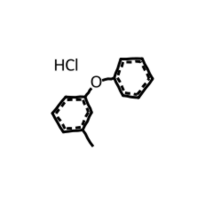 Cc1cccc(Oc2ccccc2)c1.Cl